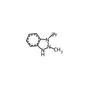 CC(C)N1c2ccccc2NN1C